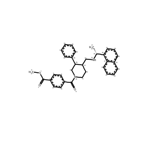 COC(=O)c1ccc(C(=O)N2CCC(CN[C@H](C)c3cccc4ccccc34)C(c3ccccc3)C2)cc1